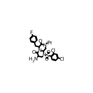 CC(C)N1CC2N(C(=O)C(N)CN2S(=O)(=O)c2ccc(Cl)cc2Cl)C(Cc2ccc(F)cc2)C1=O